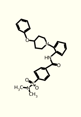 CN(C)S(=O)(=O)c1ccc(C(=O)Nc2ccccc2N2CCC(Oc3ccccc3)CC2)cc1